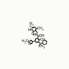 Cc1cc(C)c(CNC(O)c2cc(-c3cnn(C)c3)cc(N(C)C3CCCCC3)c2C)c(=O)[nH]1